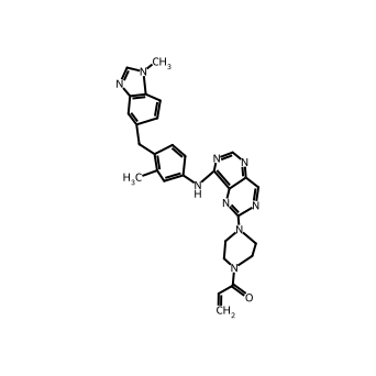 C=CC(=O)N1CCN(c2ncc3ncnc(Nc4ccc(Cc5ccc6c(c5)ncn6C)c(C)c4)c3n2)CC1